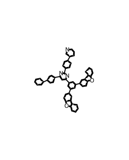 c1ccc(-c2ccc(-c3cc(-c4cc(-c5ccc6oc7ccccc7c6c5)cc(-c5ccc6oc7ccccc7c6c5)c4)nc(-c4ccc(-c5cccnc5)cc4)n3)cc2)cc1